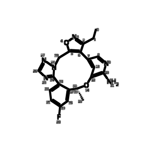 CCc1noc2c1-c1cnc(N)c(c1)O[C@H](C)c1cc(F)ccc1-c1ncnn1C2